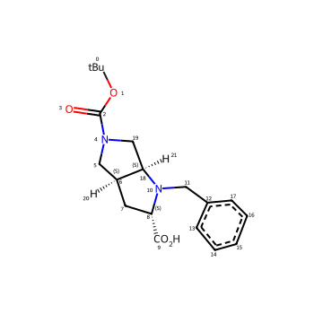 CC(C)(C)OC(=O)N1C[C@@H]2C[C@@H](C(=O)O)N(Cc3ccccc3)[C@@H]2C1